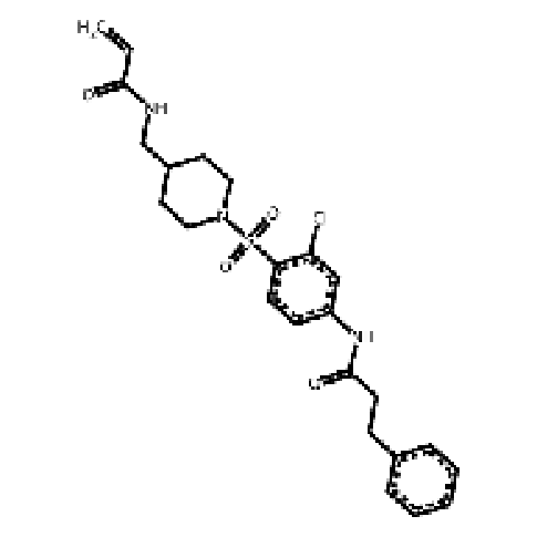 C=CC(=O)NCC1CCN(S(=O)(=O)c2ccc(NC(=O)CCc3ccccc3)cc2Cl)CC1